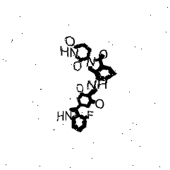 O=C1CCC(N2Cc3c(NC=C4C(=O)CC(c5c[nH]c6cccc(F)c56)CC4=O)cccc3C2=O)C(=O)N1